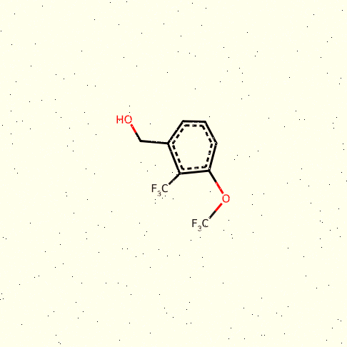 OCc1cccc(OC(F)(F)F)c1C(F)(F)F